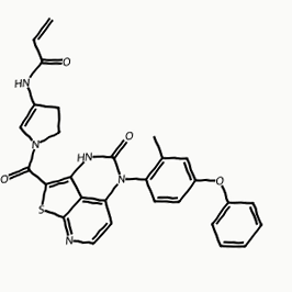 C=CC(=O)NC1=CN(C(=O)c2sc3nccc4c3c2NC(=O)N4c2ccc(Oc3ccccc3)cc2C)CC1